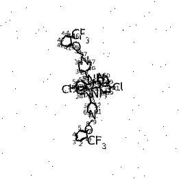 FC(F)(F)c1ccccc1OCCN1CCC(CNC(c2ccc(Cl)cc2)(c2ccccn2)[C@](NCC2CCN(CCOc3ccccc3C(F)(F)F)CC2)(c2ccc(Cl)cc2)c2ccccn2)CC1